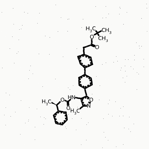 Cc1noc(-c2ccc(-c3ccc(CC(=O)OC(C)(C)C)cc3)cc2)c1NC(=O)O[C@H](C)c1ccccc1